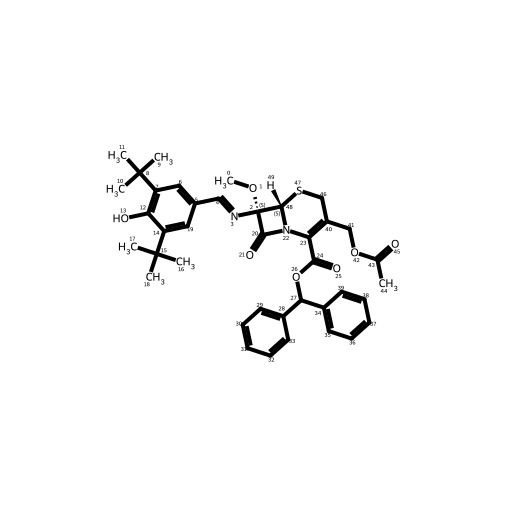 CO[C@@]1(N=Cc2cc(C(C)(C)C)c(O)c(C(C)(C)C)c2)C(=O)N2C(C(=O)OC(c3ccccc3)c3ccccc3)=C(COC(C)=O)CS[C@H]21